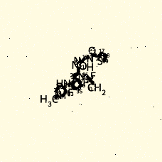 C=CC(F)(F)Cn1c(-c2nnc(CNC(=O)c3cccs3)o2)cc2c(N[C@H]3CCN(C)C[C@H]3F)cccc21